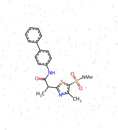 CNS(=O)(=O)c1sc(C(C)C(=O)Nc2ccc(-c3ccccc3)cc2)nc1C